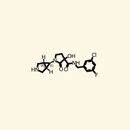 O=C(NCc1cc(F)cc(Cl)c1)C1(O)CCN([C@H]2[C@@H]3CNC[C@@H]32)C1=O